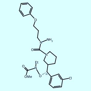 CCN(O[C@@H](c1cccc(Cl)c1)C1CCCN(C(=O)N(N)CCCOc2ccccc2)C1)C(=O)OC